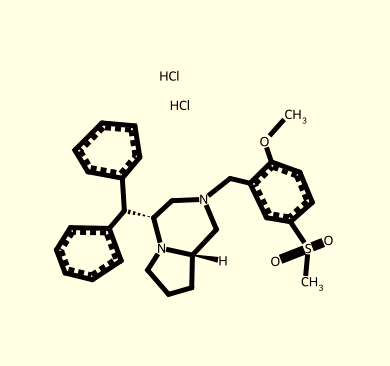 COc1ccc(S(C)(=O)=O)cc1CN1C[C@@H]2CCCN2[C@H](C(c2ccccc2)c2ccccc2)C1.Cl.Cl